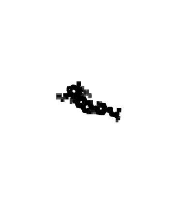 C[C@]1(c2cc3c(cc2F)CNC(c2ccc(OCC(F)F)cn2)=N3)N=C(N)OCC1(F)F